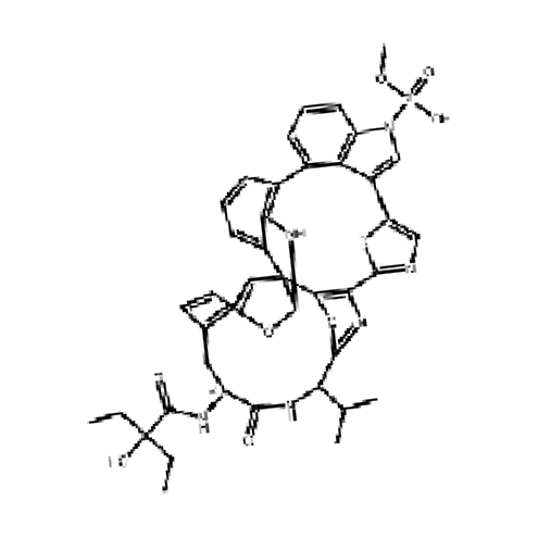 CCC(O)(CC)C(=O)N[C@H]1Cc2ccc3c(c2)C24c5cccc(c5NC2O3)-c2cccc3c2c(cn3P(=O)(O)OC)-c2cnc(o2)-c2nc(oc24)C(C(C)C)NC1=O